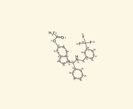 CC(=O)Oc1ccc2c(ccn2C(NCc2cccc(C(F)(F)F)c2)c2ccccc2)c1